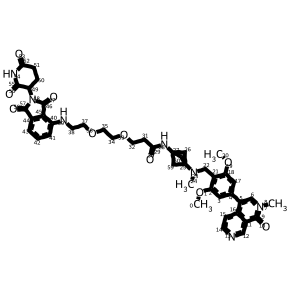 COc1cc(-c2cn(C)c(=O)c3cnccc23)cc(OC)c1CN(C)C12CC(NC(=O)CCOCCOCCNc3cccc4c3C(=O)N(C3CCC(=O)NC3=O)C4=O)(C1)C2